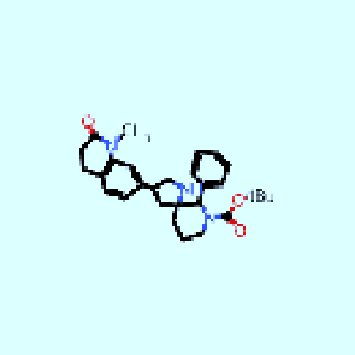 CN1C(=O)CCc2ccc(C3CNC4(CCCN(C(=O)OC(C)(C)C)C4c4ccccc4)C3)cc21